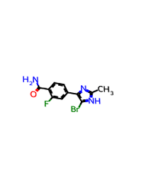 Cc1nc(-c2ccc(C(N)=O)c(F)c2)c(Br)[nH]1